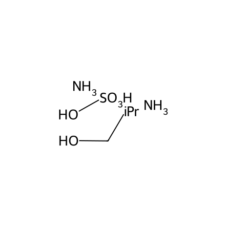 CC(C)CO.N.N.O=S(=O)(O)O